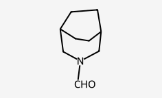 O=CN1CC2CCC(CC2)C1